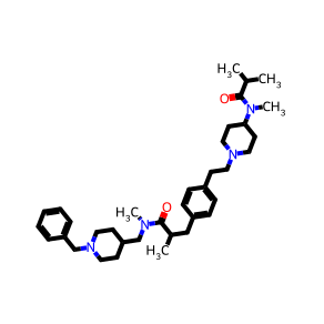 CC(C)C(=O)N(C)C1CCN(CCc2ccc(CC(C)C(=O)N(C)CC3CCN(Cc4ccccc4)CC3)cc2)CC1